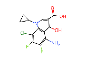 Nc1c(F)c(F)c(Cl)c2c1C(O)C(C(=O)O)=CN2C1CC1